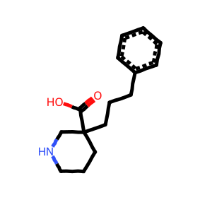 O=C(O)C1(CCCc2ccccc2)CCCNC1